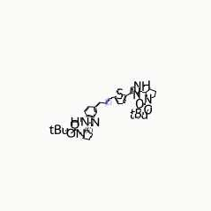 CC(C)(C)OC(=O)N1CCCC1c1nc(-c2ccc(/C=C/Cc3ccc4[nH]c([C@@H]5CCCN5C(=O)OC(C)(C)C)nc4c3)s2)c[nH]1